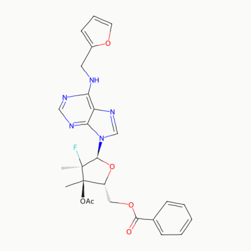 CC(=O)O[C@]1(C)[C@@H](COC(=O)c2ccccc2)O[C@H](n2cnc3c(NCc4ccco4)ncnc32)[C@]1(C)F